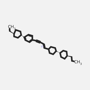 CCC[C@H]1CC[C@H](C2CCC(/C=C/C#Cc3ccc([C@H]4CC[C@H](CC)CC4)cc3)CC2)CC1